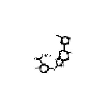 COC(=O)c1cc(Oc2nc3cc(-c4cccc(C)c4)c(Cl)cc3[nH]2)ccc1C